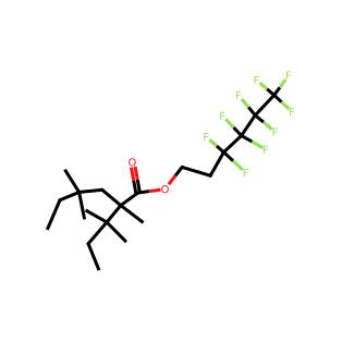 CCC(C)(C)CC(C)(C(=O)OCCC(F)(F)C(F)(F)C(F)(F)C(F)(F)F)C(C)(C)CC